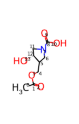 CC(=O)OCC1CN(C(=O)O)C[C@H]1O